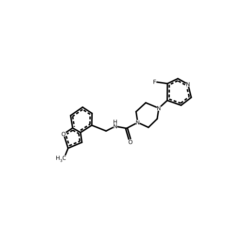 Cc1cc2c(CNC(=O)N3CCN(c4ccncc4F)CC3)cccc2o1